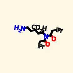 CC(C)CC(=O)N(C(=O)CC(C)C)C(CCCCN)C(=O)O